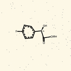 COC(=O)[C@H](O)c1ccc(F)cc1